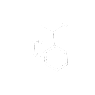 O=CO.[Na][CH](Cl)c1ccccc1